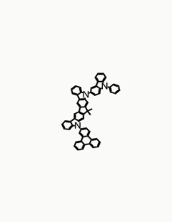 CC1(C)c2cc3c(cc2-c2cc4c5ccccc5n(-c5ccc6c(c5)c5ccccc5n6-c5ccccc5)c4cc21)c1ccccc1n3-c1ccc2c3ccccc3c3ccccc3c2c1